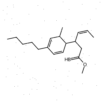 B=C(CC(/C=C\C)C1C=CC(CCCCC)=CC1C)OC